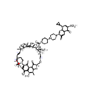 CO[C@H]1/C=C/O[C@@]2(C)Oc3c(C)c(O)c4c(c3C2=O)C(=O)C(N2CCOCC2)=C(NC(=O)/C(C)=C\C=C\[C@H](C)[C@H](O)[C@@H](C)[C@@H](O)[C@@H](C)[C@H](OC(=O)N2CCC(N3CCN(c5cc6c(cc5F)c(=O)c(C(=O)O)cn6C5CC5)CC3)CC2)[C@@H]1C)C4=O